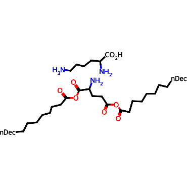 CCCCCCCCCCCCCCCCCC(=O)OC(=O)CCC(N)C(=O)OC(=O)CCCCCCCCCCCCCCCCC.NCCCCC(N)C(=O)O